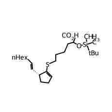 CCCCCCC=C[C@H]1CCC=C1SCCCCC(O[Si](C)(C)C(C)(C)C)C(=O)O